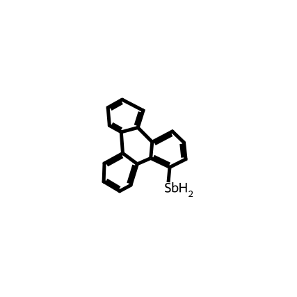 [SbH2][c]1cccc2c3ccccc3c3ccccc3c12